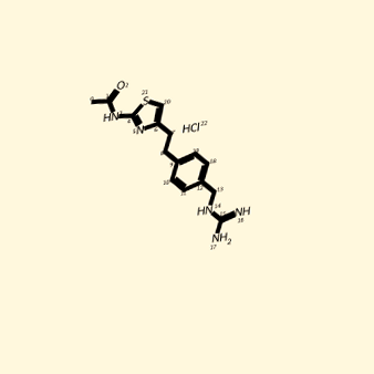 CC(=O)Nc1nc(CCc2ccc(CNC(=N)N)cc2)cs1.Cl